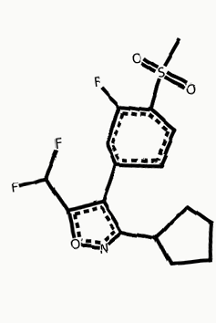 CS(=O)(=O)c1ccc(-c2c(C3CCCC3)noc2C(F)F)cc1F